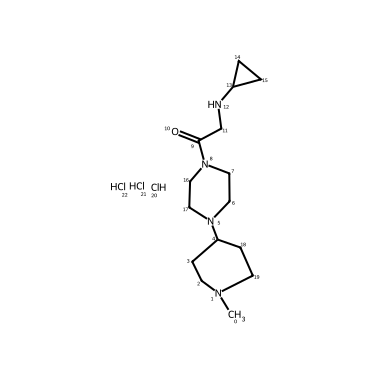 CN1CCC(N2CCN(C(=O)CNC3CC3)CC2)CC1.Cl.Cl.Cl